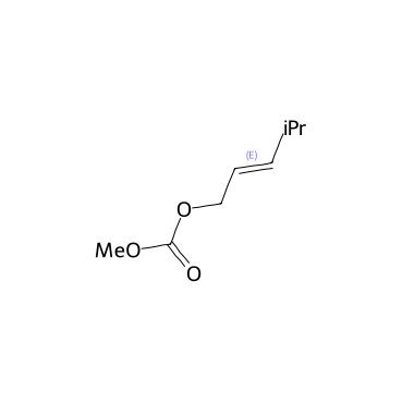 COC(=O)OC/C=C/C(C)C